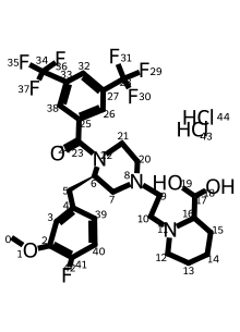 COc1cc(C[C@@H]2CN(CCN3CCCCC3C(O)O)CCN2C(=O)c2cc(C(F)(F)F)cc(C(F)(F)F)c2)ccc1F.Cl.Cl